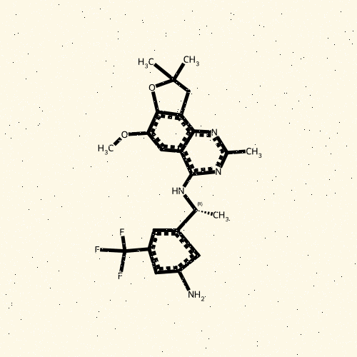 COc1cc2c(N[C@H](C)c3cc(N)cc(C(F)(F)F)c3)nc(C)nc2c2c1OC(C)(C)C2